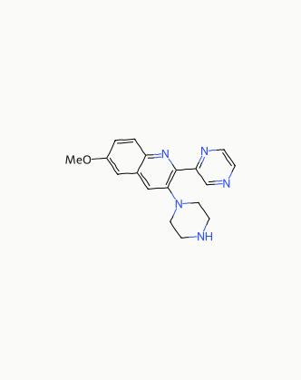 COc1ccc2nc(-c3cnccn3)c(N3CCNCC3)cc2c1